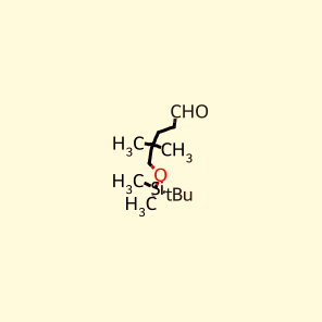 CC(C)(CCC=O)CO[Si](C)(C)C(C)(C)C